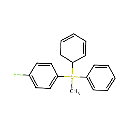 CS(c1ccccc1)(c1ccc(F)cc1)C1C=CC=CC1